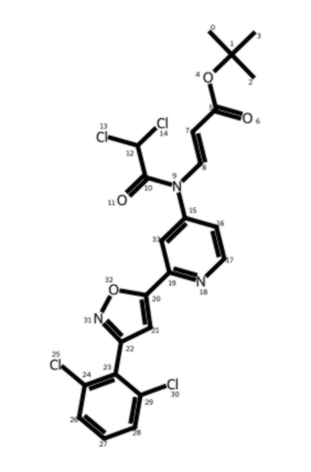 CC(C)(C)OC(=O)/C=C/N(C(=O)C(Cl)Cl)c1ccnc(-c2cc(-c3c(Cl)cccc3Cl)no2)c1